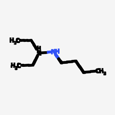 CCCCN[SiH](CC)CC